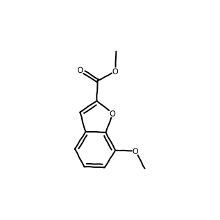 COC(=O)c1cc2cccc(OC)c2o1